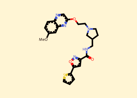 COc1ccc2ncc(OCCN3CCC(CNC(=O)c4cc(-c5cccs5)on4)C3)nc2c1